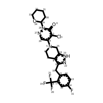 O=c1c(Cl)c(N2CCc3c(Cc4ccc(F)cc4C(F)(F)F)n[nH]c3C2)cnn1C1CCCCO1